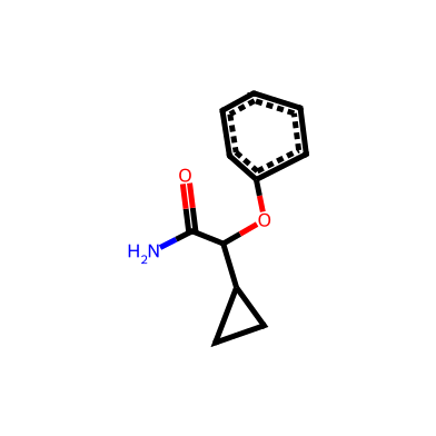 NC(=O)C(Oc1cc[c]cc1)C1CC1